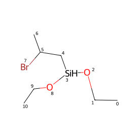 CCO[SiH](CC(C)Br)OCC